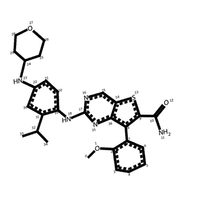 COc1ccccc1-c1c(C(N)=O)sc2cnc(Nc3ccc(NC4CCOCC4)cc3C(C)C)nc12